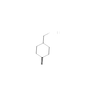 C=C1CCC(CC(=O)O)CC1